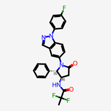 CC(F)(F)C(=O)N[C@@H]1CC(=O)N(c2ccc3c(cnn3-c3ccc(F)cc3)c2)[C@H]1c1ccccc1